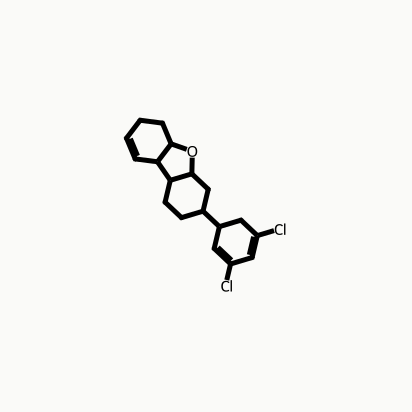 ClC1=CC(C2CCC3C(C2)OC2CCC=CC23)CC(Cl)=C1